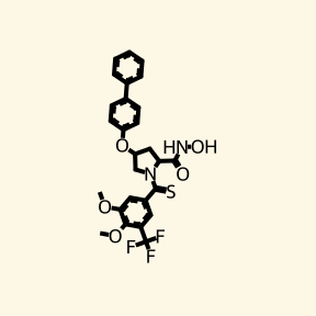 COc1cc(C(=S)N2CC(Oc3ccc(-c4ccccc4)cc3)CC2C(=O)NO)cc(C(F)(F)F)c1OC